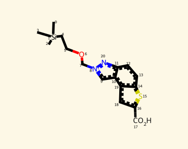 C[Si](C)(C)CCOCn1cc2c(ccc3sc(C(=O)O)cc32)n1